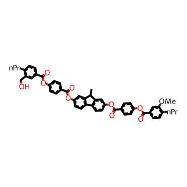 CCCc1ccc(C(=O)Oc2ccc(C(=O)Oc3ccc4c(c3)C(C)c3cc(OC(=O)c5ccc(OC(=O)c6ccc(CCC)c(OC)c6)cc5)ccc3-4)cc2)cc1CO